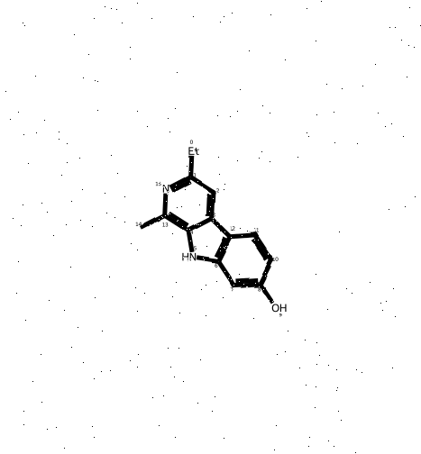 CCc1cc2c([nH]c3cc(O)ccc32)c(C)n1